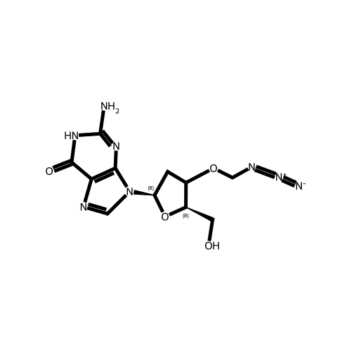 [N-]=[N+]=NCOC1C[C@H](n2cnc3c(=O)[nH]c(N)nc32)O[C@@H]1CO